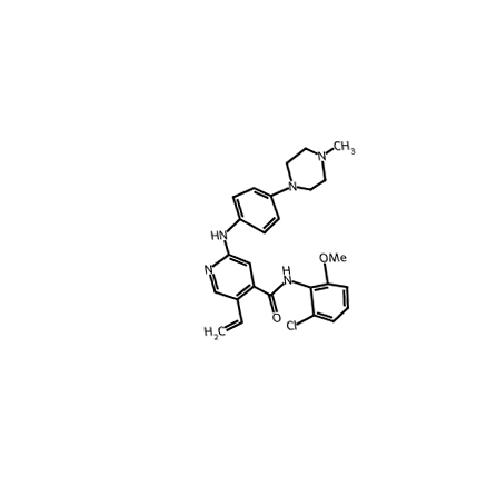 C=Cc1cnc(Nc2ccc(N3CCN(C)CC3)cc2)cc1C(=O)Nc1c(Cl)cccc1OC